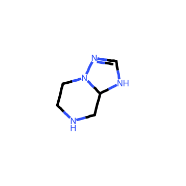 C1=NN2CCNCC2N1